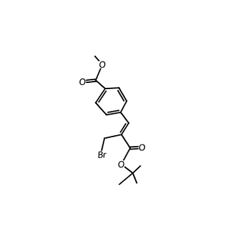 COC(=O)c1ccc(C=C(CBr)C(=O)OC(C)(C)C)cc1